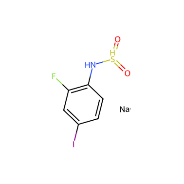 O=[SH](=O)Nc1ccc(I)cc1F.[Na]